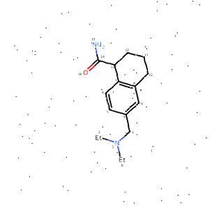 CCN(CC)Cc1ccc2c(c1)CC[CH]C2C(N)=O